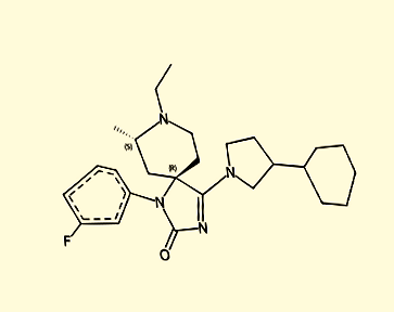 CCN1CC[C@@]2(C[C@@H]1C)C(N1CCC(C3CCCCC3)C1)=NC(=O)N2c1cccc(F)c1